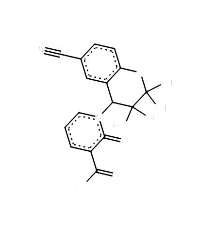 CC1(C)Oc2ccc(C#N)cc2C(n2cccc(C(=O)O)c2=O)C1(C)O